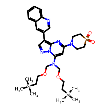 C[Si](C)(C)CCOCN(COCC[Si](C)(C)C)c1cc(N2CCS(=O)(=O)CC2)nc2c(-c3cnc4ccccc4c3)cnn12